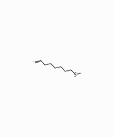 [CH]=CCCCCCCSC